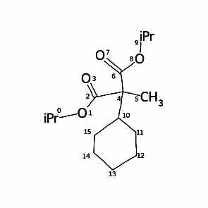 CC(C)OC(=O)C(C)(C(=O)OC(C)C)C1CCCCC1